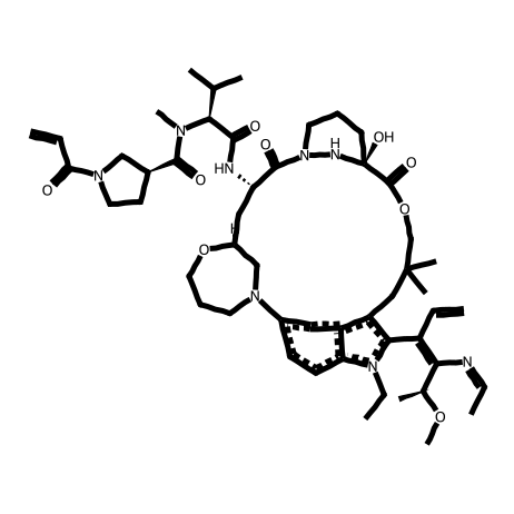 C=CC(=O)N1CC[C@H](C(=O)N(C)[C@H](C(=O)N[C@H]2C[C@H]3CN(CCCO3)c3ccc4c(c3)c(c(/C(C=C)=C(/N=C\C)[C@H](C)OC)n4CC)CC(C)(C)COC(=O)[C@@]3(O)CCCN(N3)C2=O)C(C)C)C1